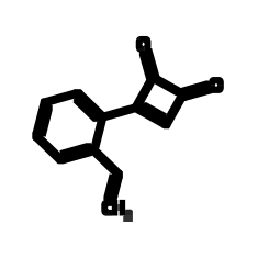 C=Cc1ccccc1-c1cc(=O)c1=O